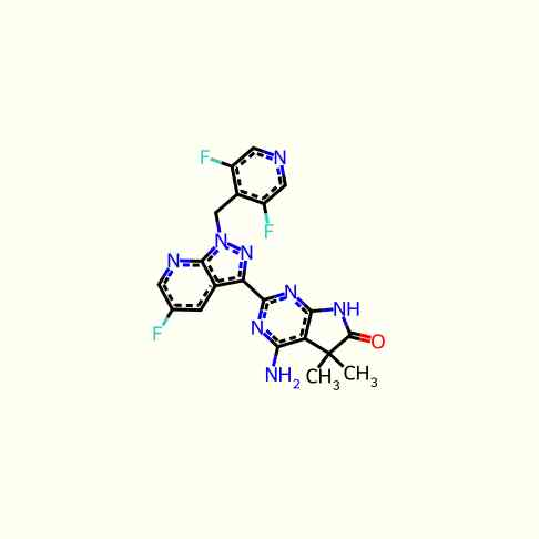 CC1(C)C(=O)Nc2nc(-c3nn(Cc4c(F)cncc4F)c4ncc(F)cc34)nc(N)c21